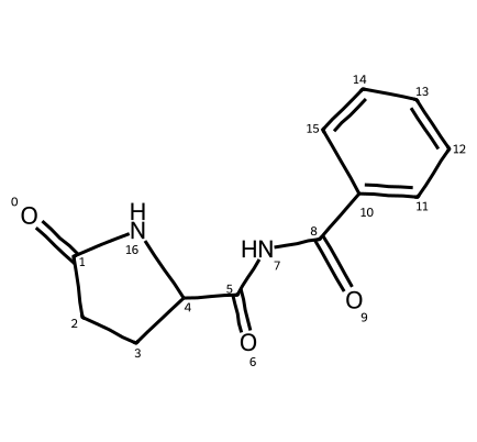 O=C1CCC(C(=O)NC(=O)c2ccccc2)N1